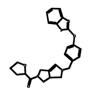 O=C(C1CCCO1)N1CC2=CN(Cc3ccc(Oc4nc5ccccc5s4)cc3)CC2C1